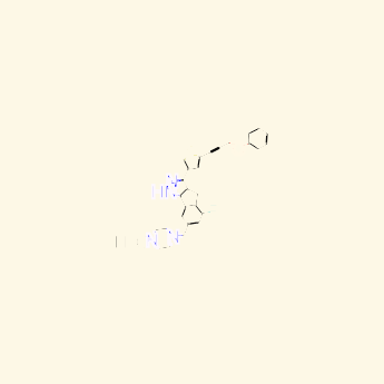 CN1CCN(Cc2cc(F)c3c(c2)-c2[nH]nc(-c4csc(C#CCOc5ccccc5)c4)c2C3)CC1